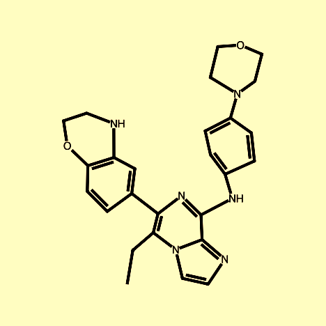 CCc1c(-c2ccc3c(c2)NCCO3)nc(Nc2ccc(N3CCOCC3)cc2)c2nccn12